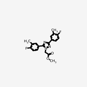 COC(=O)Cn1nc(-c2ccc(F)c(C)c2)nc1-c1ccc(F)c(C)c1